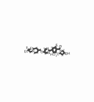 CCC(F)(CC)CN1CCC(COc2cnc(-c3ccc(C(=O)N4C[C@H](O)C[C@H]4C(=O)O)c(F)c3)nc2)CC1